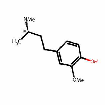 CN[C@H](C)CCc1ccc(O)c(OC)c1